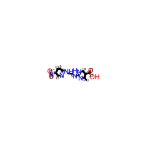 Cc1nc(NCCNc2ccc([N+](=O)[O-])cn2)ncc1C(=O)O